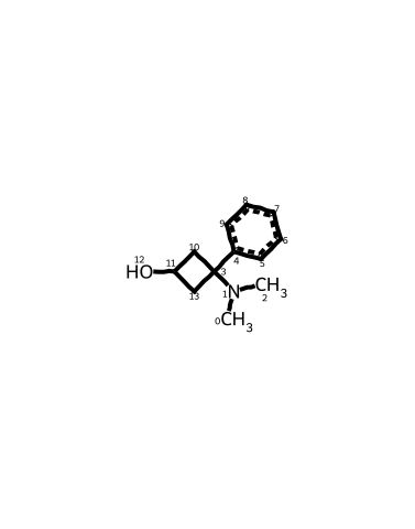 CN(C)C1(c2ccccc2)CC(O)C1